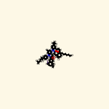 C=CCC/C=C/CC1(C)CCC(C)(C)C2=CC3=C(C=CC21)N(c1ccc(C(C)(C)C)cc1-c1ccccc1)c1cc(C)cc2c1B3c1oc3cc4c(cc3c1N2c1ccc(C(C)(C)CCC(C)C)cc1)C(C)(I)CCC4(C)CC